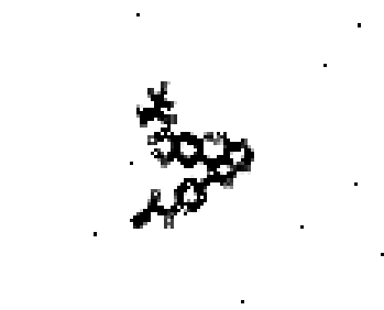 C#CC(=O)Nc1ccc(-c2nn3ncnc(N)c3c2-c2ccc(C(=O)NC3(C(F)(F)F)CC3)c(OC)c2)cc1